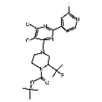 CC(C)(C)OC(=O)N1CCN(c2nc(-c3ccnc(F)c3)nc(Cl)c2Cl)CC1C(C)(C)F